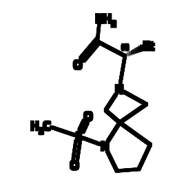 CC[C@@H](C(N)=O)N1CC2(CCCN2S(C)(=O)=O)C1